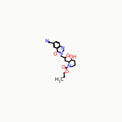 C=CCOC(=O)N1CCCC(O)C1CC(=O)Cn1cnc2ccc(C#N)cc2c1=O